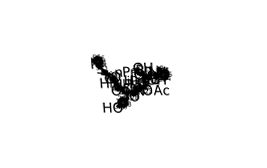 CCCC(O)OCN(C(O)[C@@H](NC(=O)C1CCCCN1C)[C@@H](C)CC)[C@H](C[C@@H](OC(C)=O)c1nc(C(=O)N[C@@H](Cc2ccc(O)cc2)C[C@H](C)C(=O)NNC(=O)OCCSSc2ccccn2)cs1)C(C)C